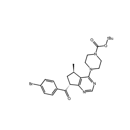 C[C@@H]1C[C@@H](C(=O)c2ccc(Br)cc2)c2ncnc(N3CCN(C(=O)OC(C)(C)C)CC3)c21